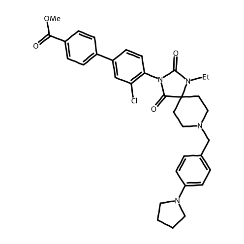 CCN1C(=O)N(c2ccc(-c3ccc(C(=O)OC)cc3)cc2Cl)C(=O)C12CCN(Cc1ccc(N3CCCC3)cc1)CC2